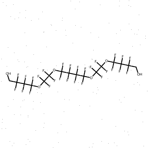 OCC(F)(F)C(F)(F)C(F)(F)OC(F)(F)C(F)(F)OC(F)(F)C(F)(F)C(F)(F)C(F)(F)OC(F)(F)C(F)(F)OC(F)(F)C(F)(F)C(F)(F)CO